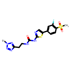 CCn1nnc(CCNC(=O)Nc2ncc(-c3ccc(S(C)(=O)=O)c(F)c3)s2)n1